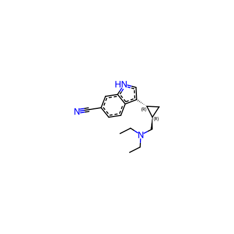 CCN(CC)C[C@@H]1C[C@H]1c1c[nH]c2cc(C#N)ccc12